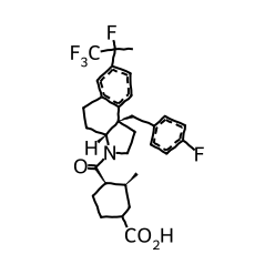 C[C@H]1CC(C(=O)O)CC[C@H]1C(=O)N1CC[C@@]2(Cc3ccc(F)cc3)c3ccc(C(C)(F)C(F)(F)F)cc3CC[C@@H]12